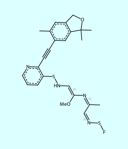 COC(=C\NSc1cccnc1C#Cc1cc2c(cc1C)COC2(C)C)/N=C(C)\C=N/SF